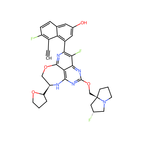 C#Cc1c(F)ccc2cc(O)cc(-c3nc4c5c(nc(OC[C@@]67CCCN6C[C@H](F)C7)nc5c3F)N[C@@H](C3CCCO3)CO4)c12